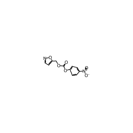 O=C(OCc1ccno1)Oc1ccc([N+](=O)[O-])cc1